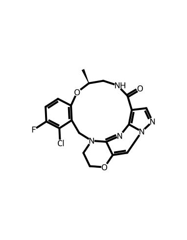 C[C@H]1CNC(=O)c2cnn3cc4c(nc23)N(CCO4)Cc2c(ccc(F)c2Cl)O1